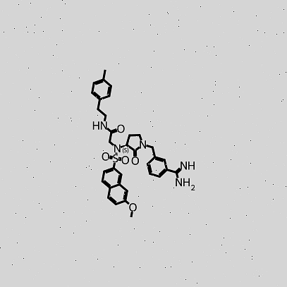 COc1ccc2ccc(S(=O)(=O)N(CC(=O)NCCc3ccc(C)cc3)[C@H]3CCN(Cc4cccc(C(=N)N)c4)C3=O)cc2c1